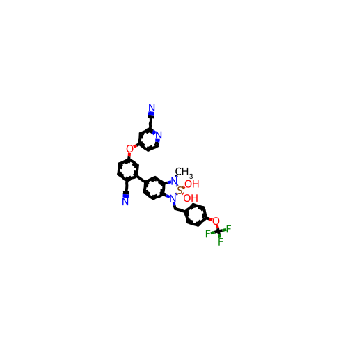 CN1c2cc(-c3cc(Oc4ccnc(C#N)c4)ccc3C#N)ccc2N(Cc2ccc(OC(F)(F)F)cc2)S1(O)O